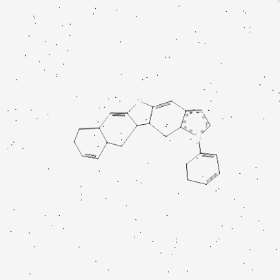 C1=CCCC(n2ccc3c2CC2C(=C3)NC3=CC4CCC=CC4CC32)=C1